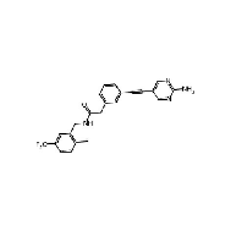 Nc1ncc(C#Cc2cccc(CC(=O)NCc3cc(C(F)(F)F)ccc3F)c2)cn1